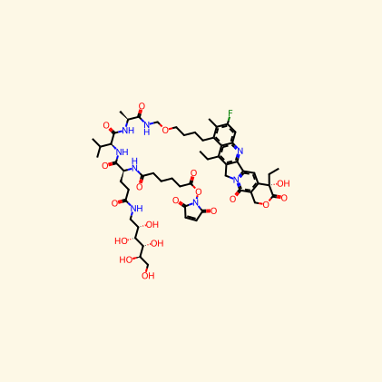 CCc1c2c(nc3cc(F)c(C)c(CCCCOCNC(=O)[C@H](C)NC(=O)[C@@H](NC(=O)[C@H](CCC(=O)NC[C@H](O)[C@@H](O)[C@H](O)[C@H](O)CO)NC(=O)CCCCC(=O)ON4C(=O)C=CC4=O)C(C)C)c13)-c1cc3c(c(=O)n1C2)COC(=O)[C@]3(O)CC